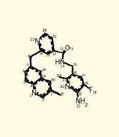 Cc1cnc2ccc(Cc3cc(C(=O)NCc4cc(F)c(N)nc4C)ccn3)cc2c1